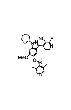 COc1cc2c(cc1O[C@H](C)c1c(C)cnnc1C)c(-c1ccnc(F)c1C#N)nn2C1CCCCO1